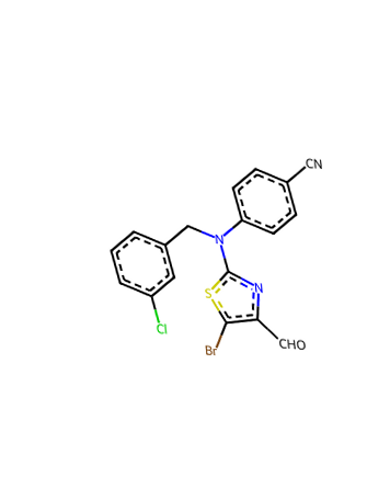 N#Cc1ccc(N(Cc2cccc(Cl)c2)c2nc(C=O)c(Br)s2)cc1